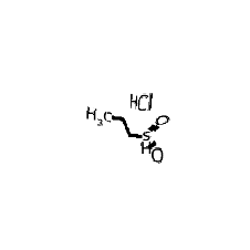 CCC[SH](=O)=O.Cl